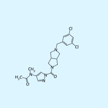 CC(=O)N(C)c1cnn(C(=O)N2CC3CN(Cc4cc(Cl)cc(Cl)c4)CC3C2)c1